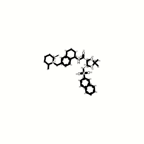 CC1CCC[C@@H](C)N1Cc1ccc2c(c1)CCCC2NC(=O)[C@@H]1OC(C)(C)O[C@@H]1CS(=O)(=O)c1ccc2ccccc2c1